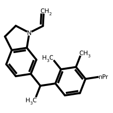 C=CN1CCc2ccc(C(C)c3ccc(CCC)c(C)c3C)cc21